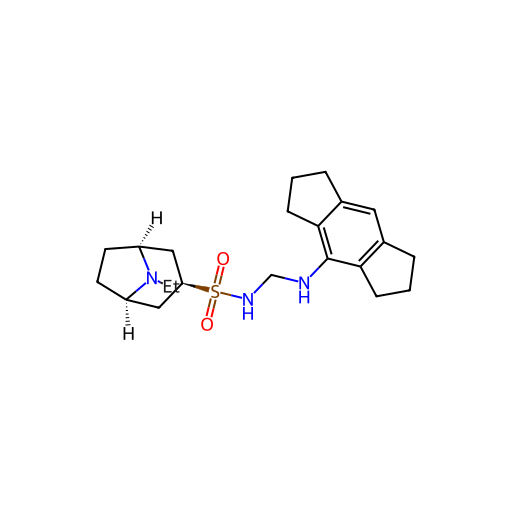 CCN1[C@@H]2CC[C@H]1C[C@@H](S(=O)(=O)NCNc1c3c(cc4c1CCC4)CCC3)C2